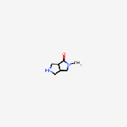 CN1CC2CNCC2C1=O